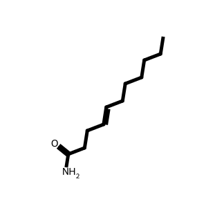 CCCCCCC=CCCC(N)=O